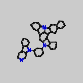 c1cc(-n2c3ccccc3c3ccncc32)cc(-n2c3ccccc3c3c4c5cc6ccccc6cc5n5c6ccccc6c(cc32)c45)c1